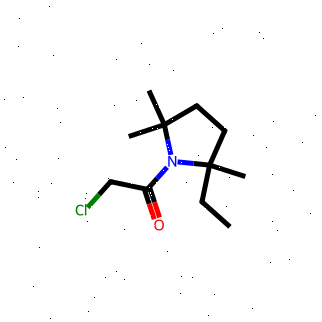 CCC1(C)CCC(C)(C)N1C(=O)CCl